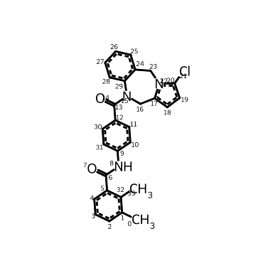 Cc1cccc(C(=O)Nc2ccc(C(=O)N3Cc4ccc(Cl)n4Cc4ccccc43)cc2)c1C